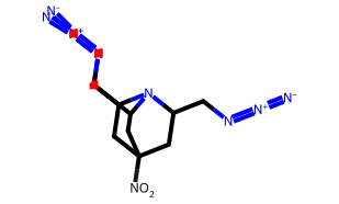 [N-]=[N+]=NCC1CC2([N+](=O)[O-])CC(CN=[N+]=[N-])N1C(CN=[N+]=[N-])C2